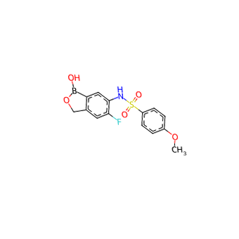 COc1ccc(S(=O)(=O)Nc2cc3c(cc2F)COB3O)cc1